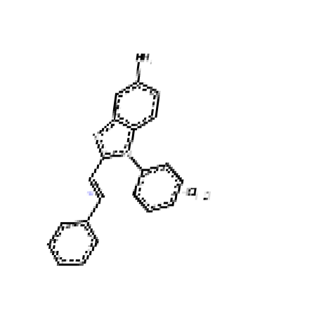 Cl.Cl.Nc1ccc2c(c1)nc(/C=C/c1ccccc1)n2-c1ccccc1